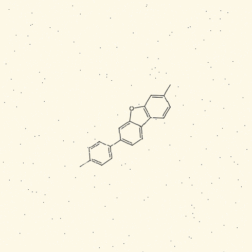 Cc1ccc(-c2ccc3c(c2)oc2cc(C)ccc23)cc1